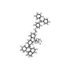 CC1(C)c2cc(/C=C/c3ccc(N(c4ccccc4)c4ccccc4)cc3)ccc2-c2ccc(N(c3ccccc3)c3cccc4ccccc34)cc21